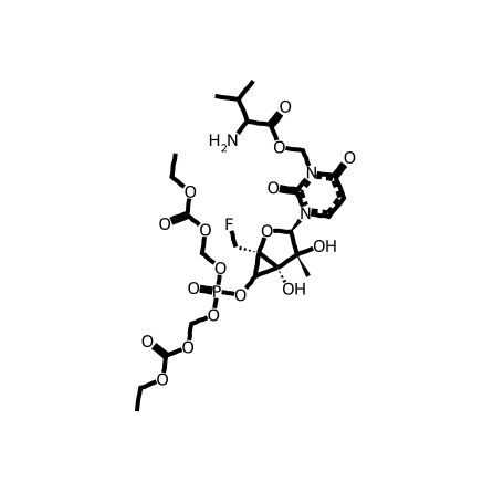 CCOC(=O)OCOP(=O)(OCOC(=O)OCC)OC1[C@]2(O)[C@@](C)(O)[C@H](n3ccc(=O)n(COC(=O)C(N)C(C)C)c3=O)O[C@]12CF